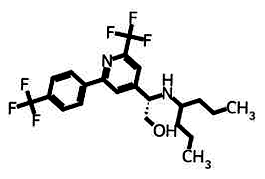 CCCC(CCC)N[C@H](CO)c1cc(-c2ccc(C(F)(F)F)cc2)nc(C(F)(F)F)c1